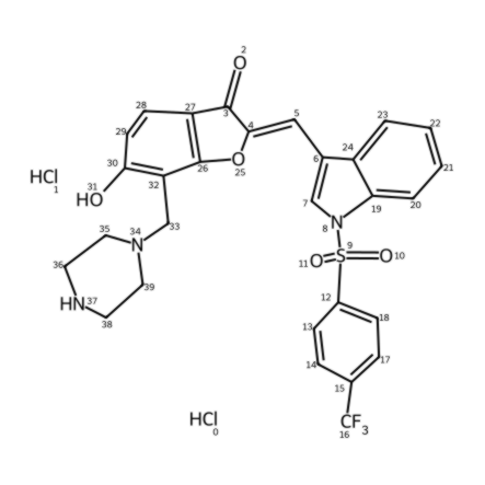 Cl.Cl.O=C1C(=Cc2cn(S(=O)(=O)c3ccc(C(F)(F)F)cc3)c3ccccc23)Oc2c1ccc(O)c2CN1CCNCC1